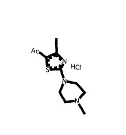 CC(=O)c1sc(N2CCN(C)CC2)nc1C.Cl